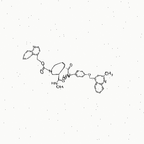 Cc1cc(COc2ccc(NC(=O)[C@H]3CCN(C(=O)OCc4ccnc5ccccc45)C[C@@H]3C(=O)NO)cc2)c2ccccc2n1